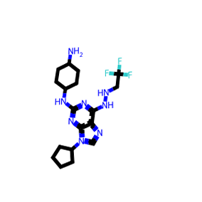 NC1CCC(Nc2nc(NNCC(F)(F)F)c3ncn(C4CCCC4)c3n2)CC1